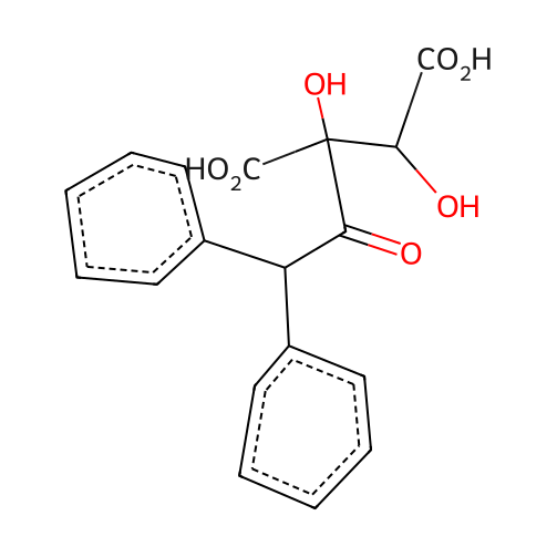 O=C(O)C(O)C(O)(C(=O)O)C(=O)C(c1ccccc1)c1ccccc1